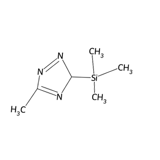 CC1=NC([Si](C)(C)C)N=N1